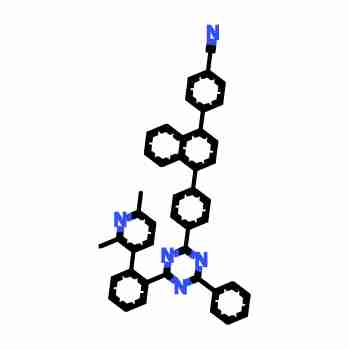 Cc1ccc(-c2ccccc2-c2nc(-c3ccccc3)nc(-c3ccc(-c4ccc(-c5ccc(C#N)cc5)c5ccccc45)cc3)n2)c(C)n1